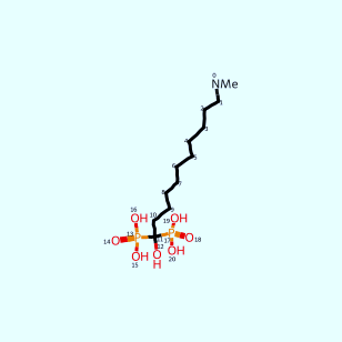 CNCCCCCCCCCCC(O)(P(=O)(O)O)P(=O)(O)O